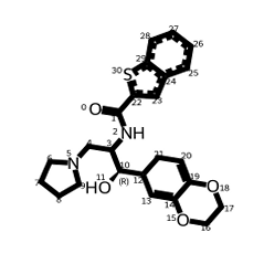 O=C(NC(CN1CCCC1)[C@H](O)C1C=C2OCCOC2=CC1)c1cc2ccccc2s1